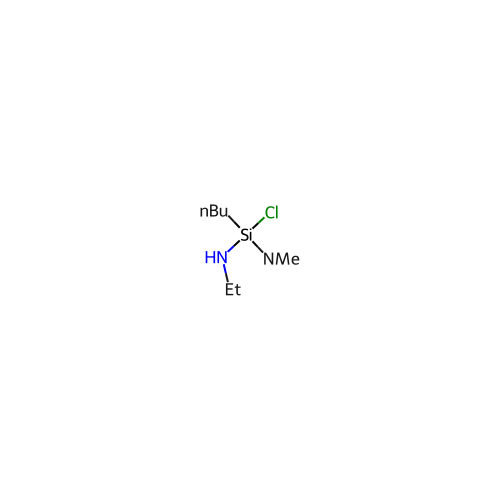 CCCC[Si](Cl)(NC)NCC